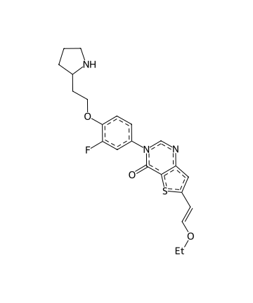 CCOC=Cc1cc2ncn(-c3ccc(OCCC4CCCN4)c(F)c3)c(=O)c2s1